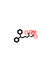 COC(=O)C[C@@H](CCCC(c1ccccc1)c1ccccc1)C(=O)O